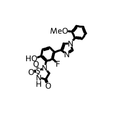 COc1ccccc1-n1cnc(-c2ccc(O)c(N3CC(=O)NS3(=O)=O)c2F)c1